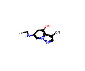 CC(C)CNc1cc(O)c2c(C#N)cnn2c1